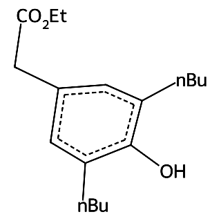 CCCCc1cc(CC(=O)OCC)cc(CCCC)c1O